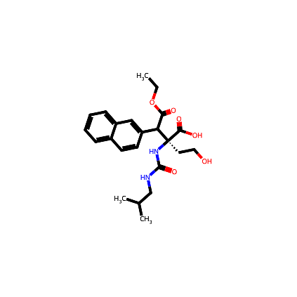 CCOC(=O)C(c1ccc2ccccc2c1)[C@](CCO)(NC(=O)NCC(C)C)C(=O)O